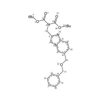 CC(C)(C)OC(=O)N(Cc1cn2cc(COCc3ccccc3)ccc2n1)C(=O)OC(C)(C)C